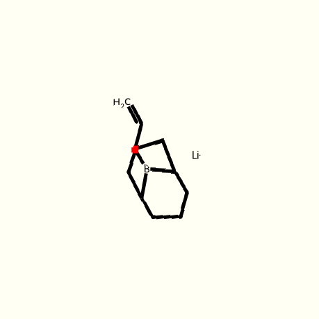 C=CCB1C2CCCC1CCC2.[Li]